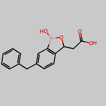 O=C(O)CC1OB(O)c2cc(Cc3ccccc3)ccc21